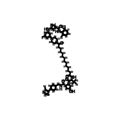 Cc1nc(Nc2ncc(C(=O)Nc3c(C)cccc3Cl)s2)cc(N2CCN(C(=O)CCCCCCCCCCCCC(=O)NC(C(=O)N3C[C@H](O)C[C@H]3C(=O)NCc3ccc(-c4scnc4C)cc3)C(C)(C)C)CC2)n1